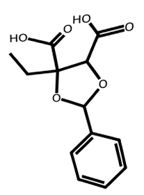 CCC1(C(=O)O)OC(c2ccccc2)OC1C(=O)O